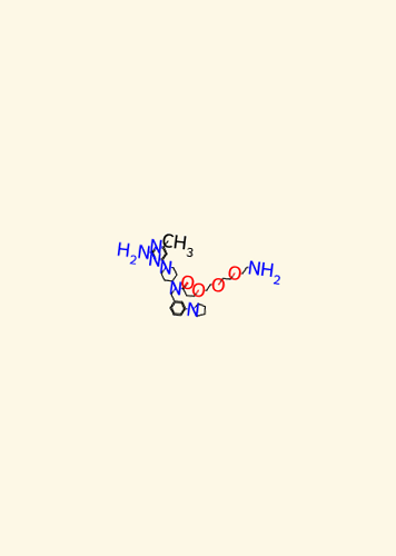 Cc1cc(N2CCC(N(Cc3cccc(N4CCCC4)c3)C(=O)CCOCCOCCOCCN)CC2)nc(N)n1